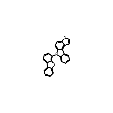 c1ccc2c(c1)sc1c(-n3c4ccccc4c4c5ccoc5ccc43)cccc12